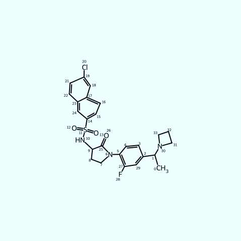 CC(c1ccc(N2CCC(NS(=O)(=O)c3ccc4cc(Cl)ccc4c3)C2=O)c(F)c1)N1CCC1